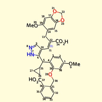 COc1ccc(C(c2[nH]ncc2/C=C(\Cc2cc3c(cc2OC)OCO3)C(=O)O)C2CC2)c(OCc2ccccc2C(=O)O)c1